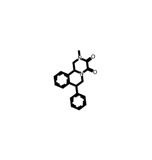 CN1CC2c3ccccc3C(c3ccccc3)CN2C(=O)C1=O